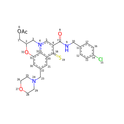 CC(=O)OCC1Cn2cc(C(=O)NCc3ccc(Cl)cc3)c(=S)c3cc(CN4CCOCC4)cc(c32)O1